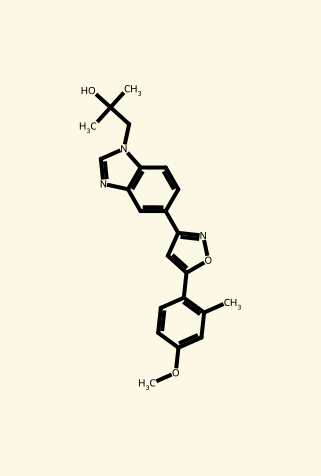 COc1ccc(-c2cc(-c3ccc4c(c3)ncn4CC(C)(C)O)no2)c(C)c1